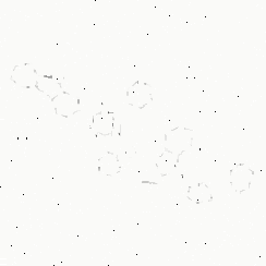 C1=CC2c3cccc(-c4nc(-c5ccccc5)nc(-c5ccc6c(c5)oc5ccccc56)n4)c3OC2c2c1n(-c1cccc(-c3ccccc3)c1)c1ccccc21